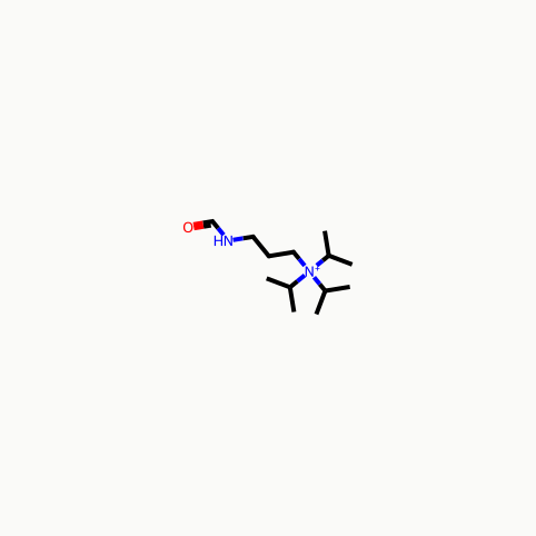 CC(C)[N+](CCCNC=O)(C(C)C)C(C)C